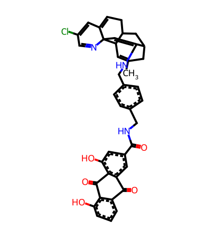 CC1=CC2C3CC=C4C=C(Cl)C=NC42C=C(NCc2ccc(CNC(=O)c4cc(O)c5c(c4)C(=O)c4cccc(O)c4C5=O)cc2)C(C1)C3